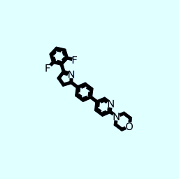 Fc1cccc(F)c1C1=NC(c2ccc(-c3ccc(N4CCOCC4)nc3)cc2)CC1